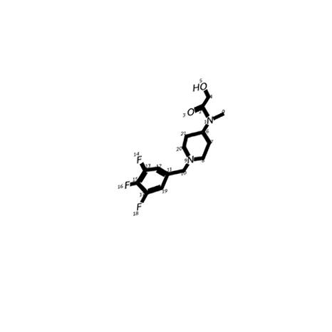 CN(C(=O)CO)C1CCN(Cc2cc(F)c(F)c(F)c2)CC1